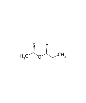 CCC(F)OC(C)=S